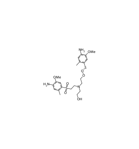 COc1cc(SOOCCN(CCO)CCS(=O)(=O)c2cc(OC)c(N)cc2C)c(C)cc1N